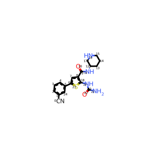 N#Cc1cccc(-c2cc(C(=O)N[C@H]3CCCNC3)c(NC(N)=O)s2)c1